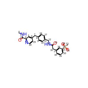 CNC(=O)c1cc(Cc2ccc(CNC(=O)Cc3cccc(S(C)(=O)=O)c3)cc2)ccn1